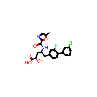 Cc1cnc(C(=O)NC(Cc2ccc(-c3cccc(Cl)c3)c(F)c2)CC(O)C(=O)O)o1